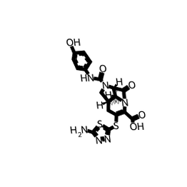 Nc1nnc(SC2=C(C(=O)O)N3C(=O)[C@@H]4[C@H]3[C@H](C2)CN4C(=O)Nc2ccc(O)cc2)s1